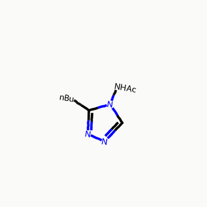 CCCCc1nncn1NC(C)=O